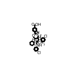 C[C@]1(C(=O)Nc2cccc(Cl)c2)[C@@H](c2cccc(Cl)c2F)[C@@H]2Cn3nc4cc(C(=O)O)ccc4c3OC[C@@H]2N1C1CCCCC1